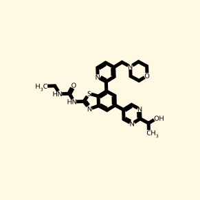 CCNC(=O)Nc1nc2cc(-c3cnc(C(C)O)nc3)cc(-c3cc(CN4CCOCC4)ccn3)c2s1